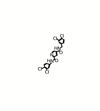 O=C(NCc1ccc(Cl)c(Cl)c1)c1ccnc(C(=O)NCc2ccc(Cl)c(Cl)c2)c1